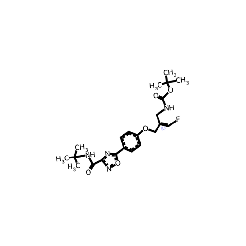 CC(C)(C)NC(=O)c1noc(-c2ccc(OC/C(=C/F)CNC(=O)OC(C)(C)C)cc2)n1